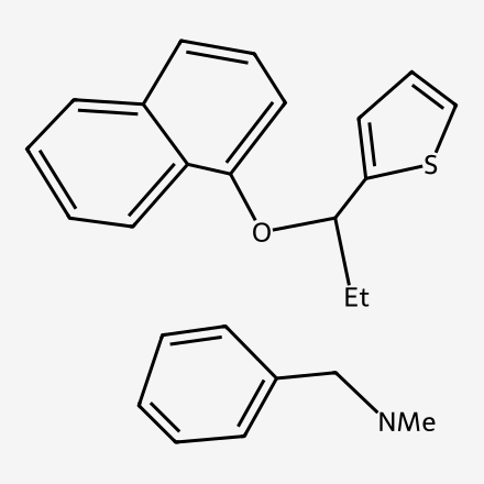 CCC(Oc1cccc2ccccc12)c1cccs1.CNCc1ccccc1